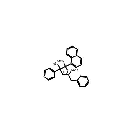 [CH2]C(NC)(c1cccc2ccccc12)C(CCCC)(CC(Cc1ccccc1)NC)c1ccccc1